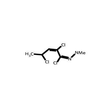 CN/N=C(Cl)\C(Cl)=C/C(C)Cl